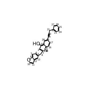 Oc1cc(Cc2ccc3occc3c2)nc2ccc(C#CCc3ccccc3)cc12